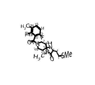 CSCCC1NC2(CCN(C(=O)c3c(F)ccc(C)c3F)CC2)N(C)C1=O